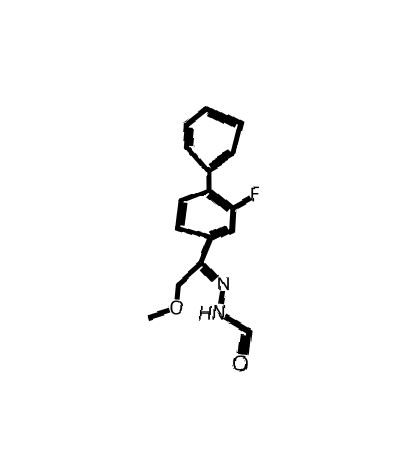 COC/C(=N\NC=O)c1ccc(-c2ccccc2)c(F)c1